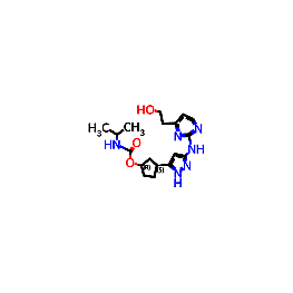 CC(C)NC(=O)O[C@@H]1CC[C@H](c2cc(Nc3nccc(CCO)n3)n[nH]2)C1